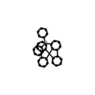 c1ccc(P(c2ccccc2)c2cccc3c2C2(c4ccccc4-c4ccccc42)c2ccccc2-3)cc1